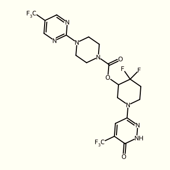 O=C(OC1CN(c2cc(C(F)(F)F)c(=O)[nH]n2)CCC1(F)F)N1CCN(c2ncc(C(F)(F)F)cn2)CC1